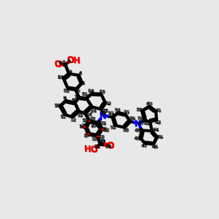 O=C(O)c1ccc(-c2c3ccccc3c(-c3ccc(C(=O)O)cc3)c3c(N(c4ccccc4)c4ccc(-n5c6ccccc6c6ccccc65)cc4)cccc23)cc1